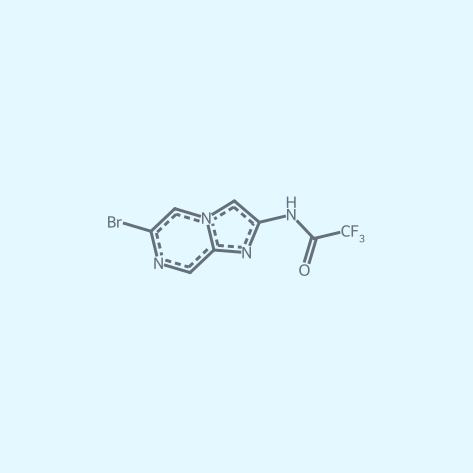 O=C(Nc1cn2cc(Br)ncc2n1)C(F)(F)F